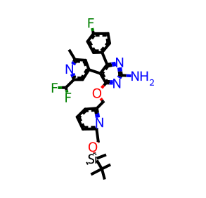 Cc1cc(-c2c(OCc3cccc(CO[Si](C)(C)C(C)(C)C)n3)nc(N)nc2-c2ccc(F)cc2)cc(C(F)F)n1